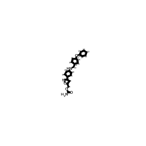 NC(=O)OCc1cc(-c2ccc(NCc3ccc(Oc4ccccc4)cc3)cc2)no1